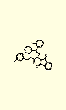 Cc1ccnc(CN2C(=O)C(N3C(=O)c4ccccc4C3=O)N=C(c3ccccc3F)c3ccccc32)c1